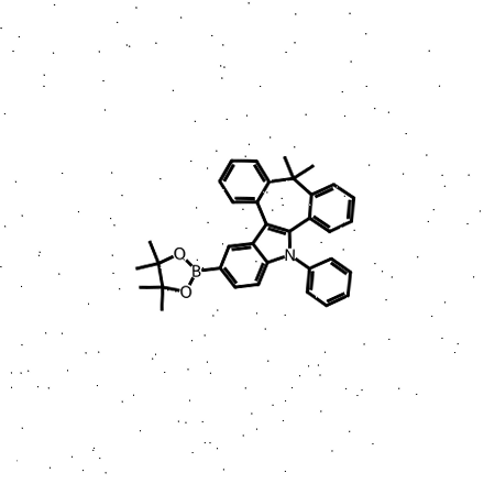 CC1(C)c2ccccc2-c2c(n(-c3ccccc3)c3ccc(B4OC(C)(C)C(C)(C)O4)cc23)-c2ccccc21